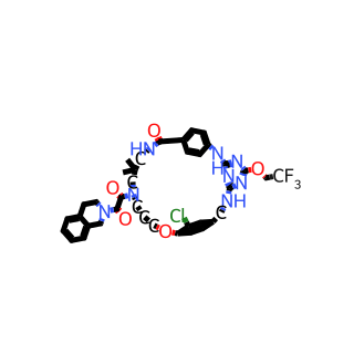 CC1(C)CNC(=O)c2ccc(cc2)Nc2nc(nc(OCC(F)(F)F)n2)NCc2ccc(c(Cl)c2)OCCCN(C(=O)C(=O)N2CCc3ccccc3C2)C1